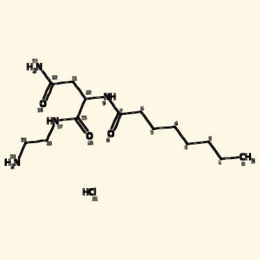 CCCCCCCC(=O)NC(CC(N)=O)C(=O)NCCN.Cl